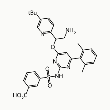 Cc1cccc(C)c1-c1cc(OC(CN)c2ccc(C(C)(C)C)cn2)nc(NS(=O)(=O)c2cccc(C(=O)O)c2)n1